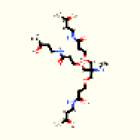 CC(C)(C)NC(COCCC(=O)NCCC(=O)C(C)(C)C)(COCCC(=O)NCCC(=O)C(C)(C)C)COCCC(=O)NCCC(=O)C(C)(C)C